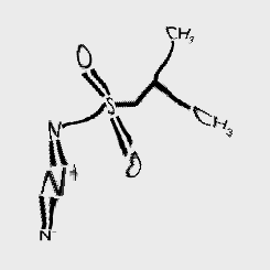 CC(C)S(=O)(=O)N=[N+]=[N-]